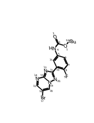 CC(C)(C)OC(=O)Nc1ccc(F)c(-c2nc3ncc(Br)cn3n2)c1